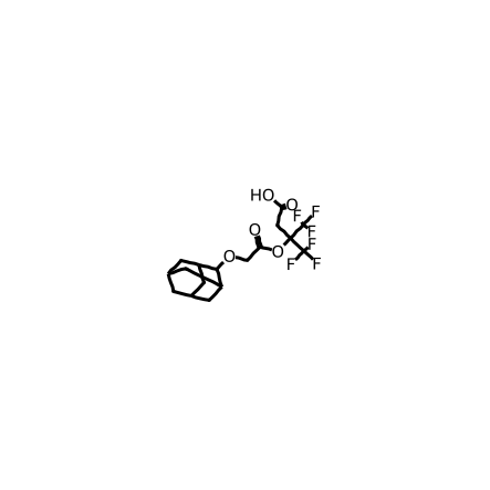 O=C(O)CC(OC(=O)COC1C2CC3CC(C2)CC1C3)(C(F)(F)F)C(F)(F)F